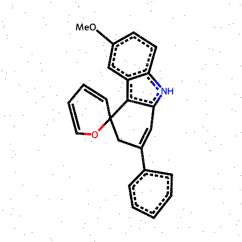 COc1ccc2[nH]c3c(c2c1)C1(C=CC=CO1)CC(c1ccccc1)=C3